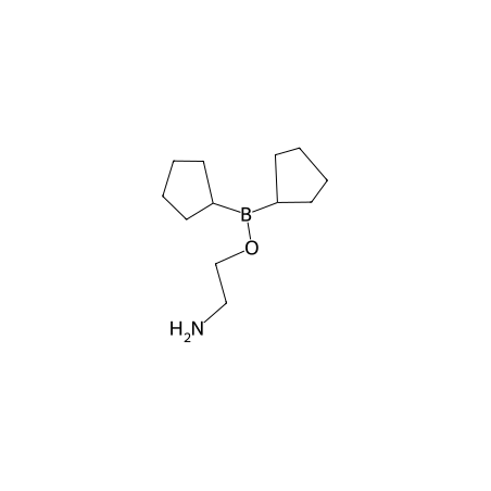 NCCOB(C1CCCC1)C1CCCC1